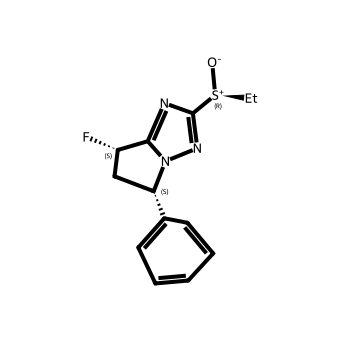 CC[S@+]([O-])c1nc2n(n1)[C@H](c1ccccc1)C[C@@H]2F